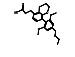 CCOCc1cc(OC)c(-c2ccc(CCC(=O)O)c3c2OCCC3)c(OC)c1